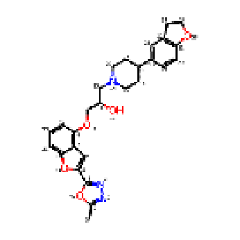 Cc1nnc(-c2cc3c(OC[C@H](O)CN4CCC(c5ccc6c(c5)CCO6)CC4)cccc3o2)o1